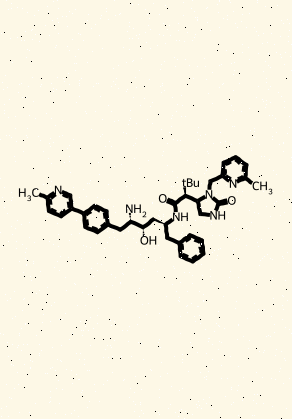 Cc1ccc(-c2ccc(C[C@H](N)[C@@H](O)C[C@H](Cc3ccccc3)NC(=O)[C@H](C3CNC(=O)N3Cc3cccc(C)n3)C(C)(C)C)cc2)cn1